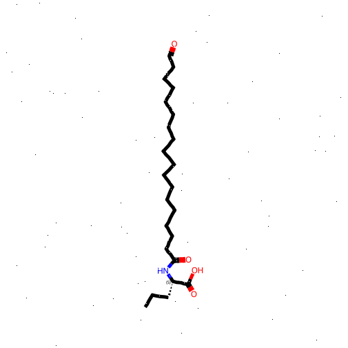 CCC[C@H](NC(=O)CCCCCCCCCCCCCCCCC=O)C(=O)O